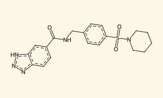 O=C(NCc1ccc(S(=O)(=O)N2CCCCC2)cc1)c1ccc2nn[nH]c2c1